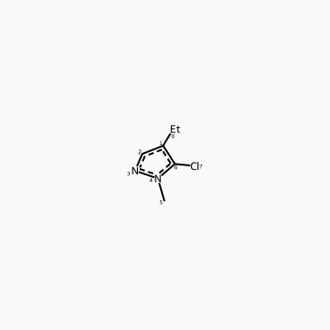 CCc1[c]nn(C)c1Cl